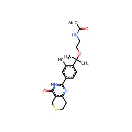 COC(=O)NCCOC(C)(C)c1ccc(-c2nc3c(c(=O)[nH]2)CSCC3)cc1C#N